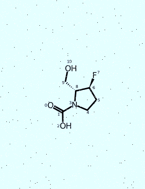 O=C(O)N1CC[C@H](F)[C@H]1CO